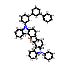 c1ccc(-c2cccc(-c3cccc(-n4c5ccccc5c5c6sc7c(ccc8c7c7ccccc7n8-c7ccccc7)c6ccc54)c3)c2)cc1